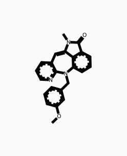 COc1cccc(CN2c3cccc4c3C(=Cc3cccnc32)N(C)C4=O)c1